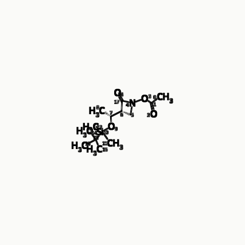 CC(=O)ON1C[C@H]([C@@H](C)O[Si](C)(C)C(C)(C)C)C1=O